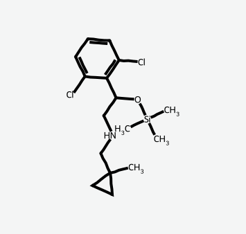 CC1(CNCC(O[Si](C)(C)C)c2c(Cl)cccc2Cl)CC1